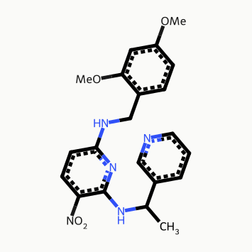 COc1ccc(CNc2ccc([N+](=O)[O-])c(NC(C)c3cccnc3)n2)c(OC)c1